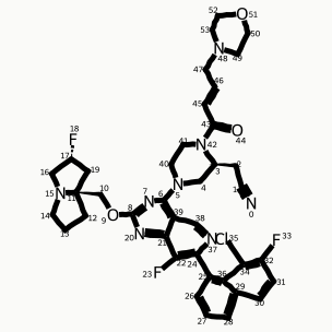 N#CC[C@H]1CN(c2nc(OC[C@@]34CCCN3C[C@H](F)C4)nc3c(F)c(-c4cccc5ccc(F)c(Cl)c45)ncc23)CCN1C(=O)/C=C/CN1CCOCC1